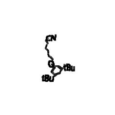 CC(C)(C)c1cc(OCCCCCCC#N)cc(C(C)(C)C)c1